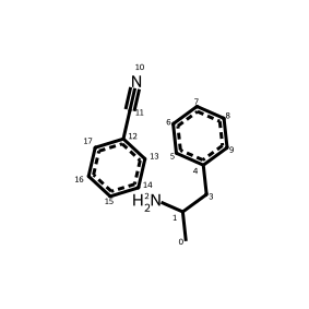 CC(N)Cc1ccccc1.N#Cc1ccccc1